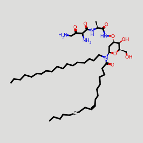 CCCCCCCC/C=C\CCCCCCCC(=O)N(CCCCCCCCCCCCCCCCCC)[C@H]1C[C@H](ONC(=O)[C@H](C)NC(=O)C(N)C(=O)CN)[C@@H](O)[C@@H](CO)O1